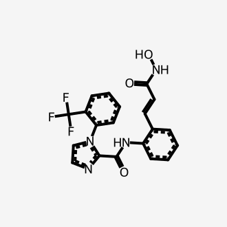 O=C(C=Cc1ccccc1NC(=O)c1nccn1-c1ccccc1C(F)(F)F)NO